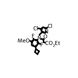 CCOC(=O)CC(=O)N(Cc1cnc(Cl)cc1Cl)c1c(F)c(OC)cc(C2CCC2)c1F